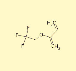 C=CC(=C)OCC(F)(F)F